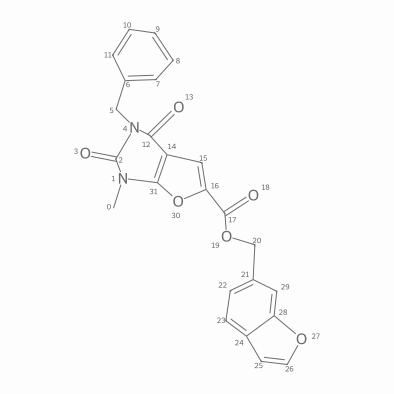 Cn1c(=O)n(Cc2ccccc2)c(=O)c2cc(C(=O)OCc3ccc4ccoc4c3)oc21